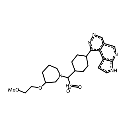 COCCOC1CCCN(C(C2CCC(c3nncc4cnc5[nH]ccc5c34)CC2)[SH](=O)=O)C1